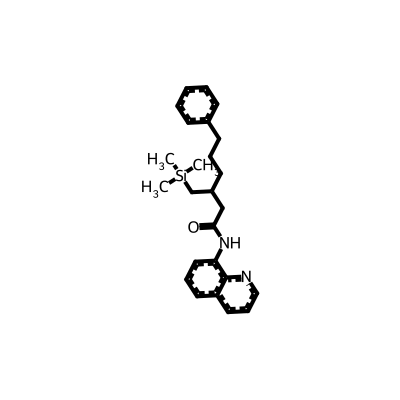 C[Si](C)(C)CC(CCCc1ccccc1)CC(=O)Nc1cccc2cccnc12